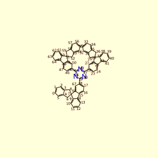 c1ccc2c(c1)CC1(C2)c2ccccc2-c2ccc(-c3nc(-c4ccc5c(c4)C4(Cc6ccccc6C4)c4ccccc4-5)nc(-c4ccc5c(c4)C4(Cc6ccccc6C4)c4ccccc4-5)n3)cc21